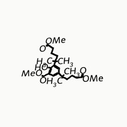 COC(=O)CCCC(C)(C)c1cc(C(=O)OC)c(O)c(C(C)(C)CCCC(=O)OC)c1